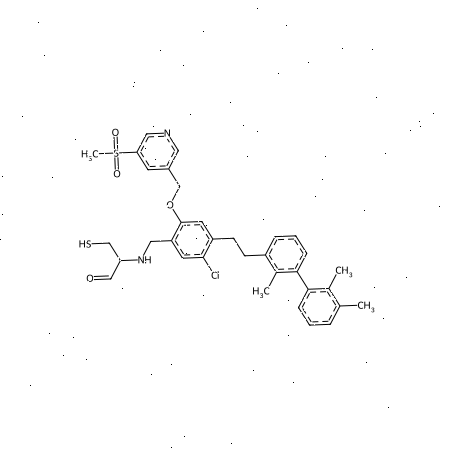 Cc1cccc(-c2cccc(CCc3cc(OCc4cncc(S(C)(=O)=O)c4)c(CNC(C=O)CS)cc3Cl)c2C)c1C